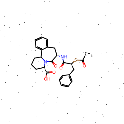 CC(=O)S[C@@H](Cc1ccccc1)C(=O)N[C@H]1Cc2ccccc2C2CCC[C@@H](C(=O)O)N2C1=O